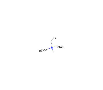 CCCCCCCCCC[N+](C)(CCCCCCCCCC)CC(C)C